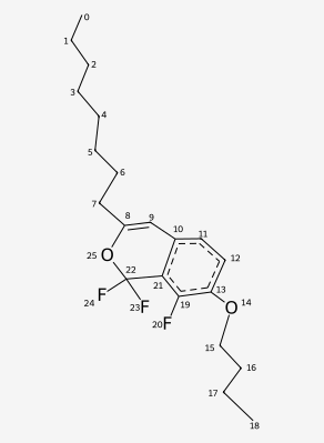 CCCCCCCCC1=Cc2ccc(OCCCC)c(F)c2C(F)(F)O1